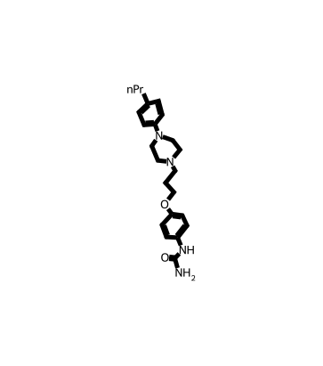 CCCc1ccc(N2CCN(CCCOc3ccc(NC(N)=O)cc3)CC2)cc1